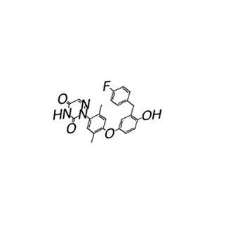 Cc1cc(-n2ncc(=O)[nH]c2=O)c(C)cc1Oc1ccc(O)c(Cc2ccc(F)cc2)c1